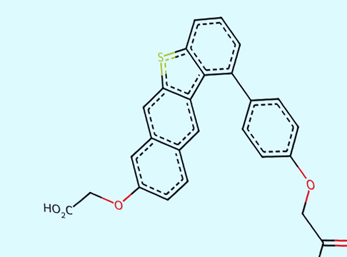 COC(=O)COc1ccc(-c2cccc3sc4cc5cc(OCC(=O)O)ccc5cc4c23)cc1